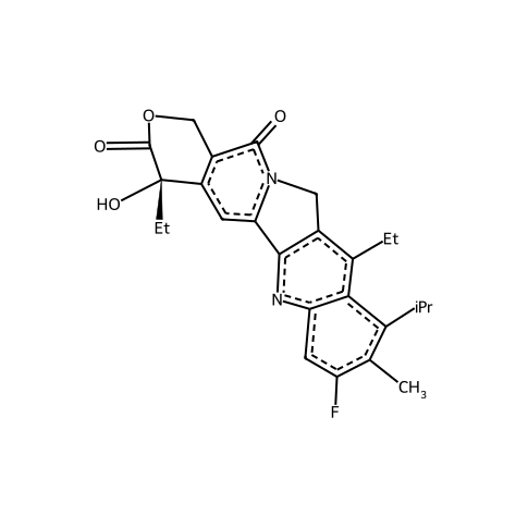 CCc1c2c(nc3cc(F)c(C)c(C(C)C)c13)-c1cc3c(c(=O)n1C2)COC(=O)[C@]3(O)CC